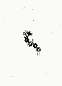 CN(C(=O)N1Cc2ccc(-c3nccc(Nc4ccc(-c5cn[nH]c5)cc4)n3)cc2C1)C1CC(F)C1